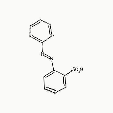 O=S(=O)(O)c1ccccc1/N=N/c1[c]cccc1